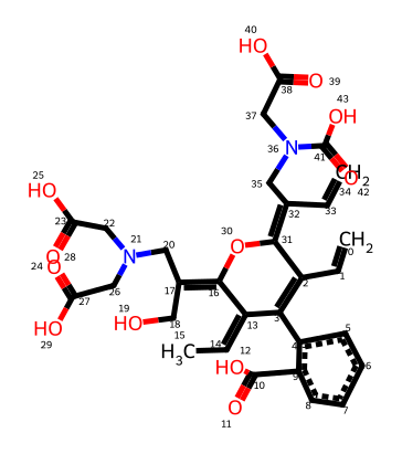 C=CC1=C(c2ccccc2C(=O)O)C(=C/C)/C(=C(\CO)CN(CC(=O)O)CC(=O)O)O/C1=C(/C=C)CN(CC(=O)O)C(=O)O